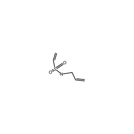 C=CC[N]S(=O)(=O)C=C